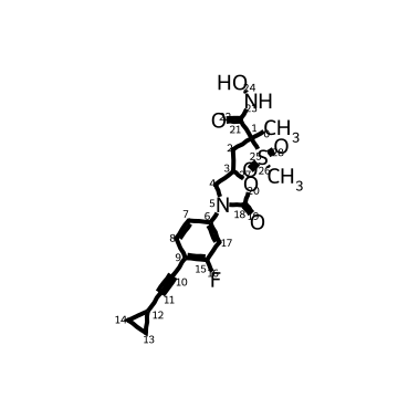 CC(CC1CN(c2ccc(C#CC3CC3)c(F)c2)C(=O)O1)(C(=O)NO)S(C)(=O)=O